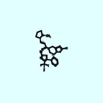 CCn1cc(-c2ccccc2[C@@H]2CN(C(=O)/C=C/C3CCCN3C)Cc3sc(Cl)cc32)c(C(F)(I)I)n1